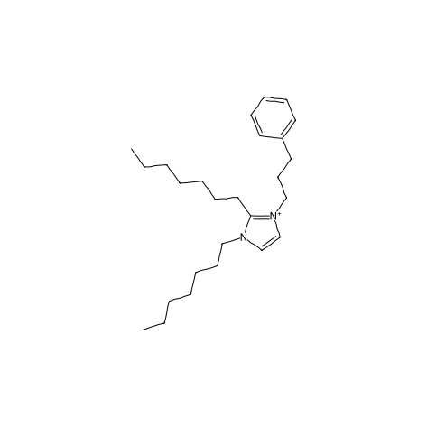 CCCCCCCc1n(CCCCCCC)cc[n+]1CCCc1ccccc1